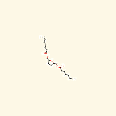 CC(C)CCCCCC(=O)OCC1CCC(COC(=O)CCCCCC(C)C)O1